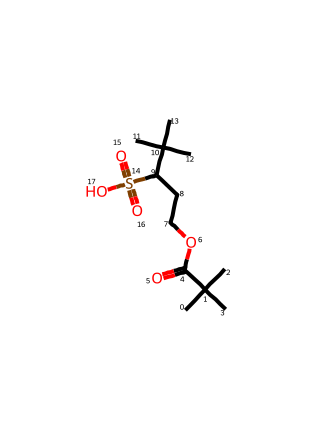 CC(C)(C)C(=O)OCCC(C(C)(C)C)S(=O)(=O)O